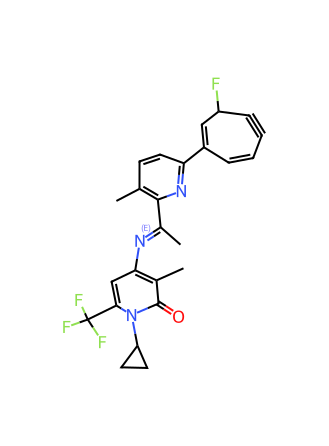 C/C(=N\c1cc(C(F)(F)F)n(C2CC2)c(=O)c1C)c1nc(C2=CC(F)C#CC=C2)ccc1C